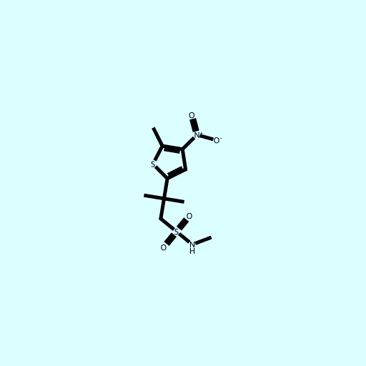 CNS(=O)(=O)CC(C)(C)c1cc([N+](=O)[O-])c(C)s1